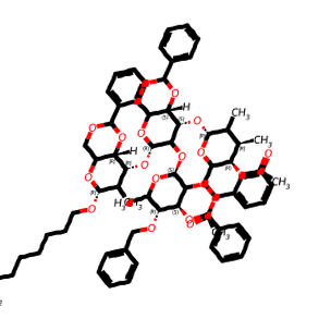 C=CCCCCCCO[C@@H]1OC2COC(c3ccccc3)O[C@@H]2[C@H](O[C@@H]2OC3COC(c4ccccc4)O[C@@H]3[C@H](O[C@H]3OC(COC(C)=O)[C@H](OC(C)=O)[C@H](C)C3C)C2O[C@@H]2OC(C)[C@@H](OCc3ccccc3)[C@H](OCc3ccccc3)C2OCc2ccccc2)C1C